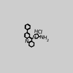 Cl.NC1CCN(c2c3c(nc4ccc(-c5ccccc5)cc24)CCCC3)C1